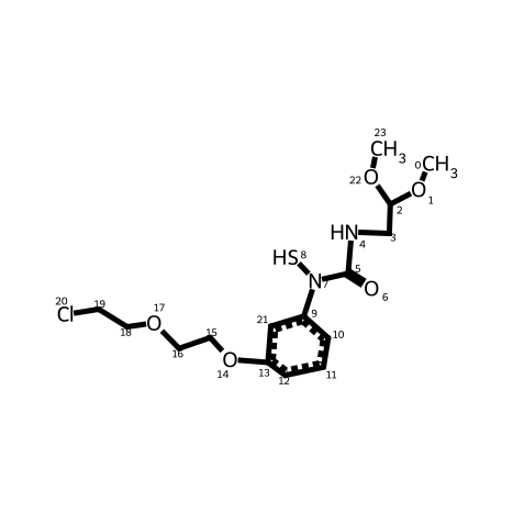 COC(CNC(=O)N(S)c1cccc(OCCOCCCl)c1)OC